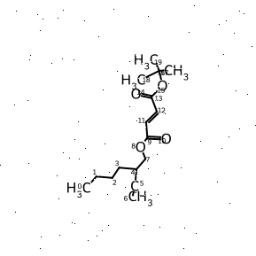 CCCCC(CC)COC(=O)/C=C/C(=O)OC(C)(C)C